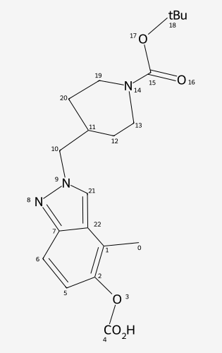 Cc1c(OC(=O)O)ccc2nn(CC3CCN(C(=O)OC(C)(C)C)CC3)cc12